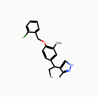 COc1cc(C(CC(C)=O)c2c[nH]nc2C)ccc1OCc1ccccc1Cl